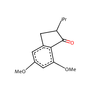 COc1cc2c(c(OC)c1)C(=O)C(C(C)C)C2